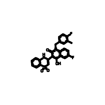 Cc1cc(Cn2c(=O)c(C3=CS(=O)(=O)c4ccccc4N3)c(O)c3cc(F)ccc32)ccc1F